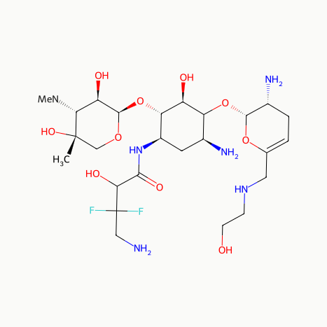 CN[C@@H]1[C@@H](O)[C@@H](O[C@H]2[C@H](NC(=O)C(O)C(F)(F)CN)C[C@H](N)C(O[C@H]3OC(CNCCO)=CC[C@H]3N)[C@@H]2O)OC[C@]1(C)O